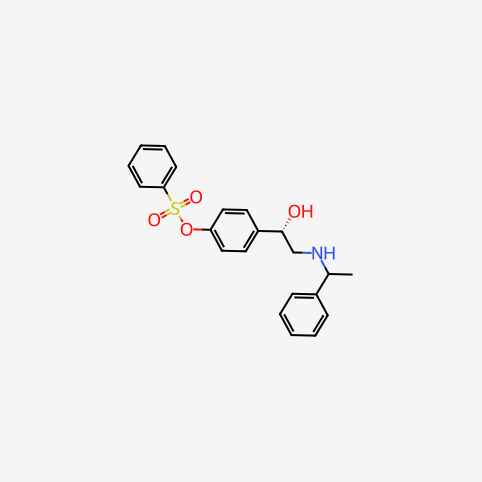 CC(NC[C@@H](O)c1ccc(OS(=O)(=O)c2ccccc2)cc1)c1ccccc1